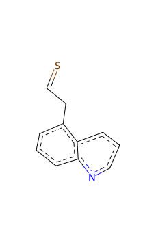 S=CCc1cccc2ncccc12